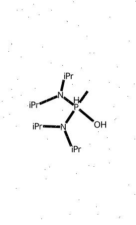 CC(C)N(C(C)C)[PH](C)(O)N(C(C)C)C(C)C